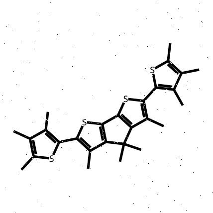 Cc1sc(-c2sc3c(c2C)C(C)(C)c2c-3sc(-c3sc(C)c(C)c3C)c2C)c(C)c1C